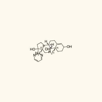 C[C@]12CCC(O)C=C1CC[C@@H]1[C@H]2CC[C@]2(C)C(O)(c3ncccn3)CC[C@@]12O